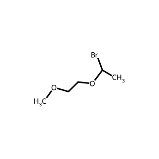 COCCOC(C)Br